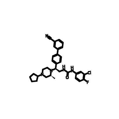 C[C@@H]1CN(C2CCCC2)CCN1[C@H](CNC(=O)Nc1ccc(F)c(Cl)c1)c1ccc(-c2cccc(C#N)c2)cc1